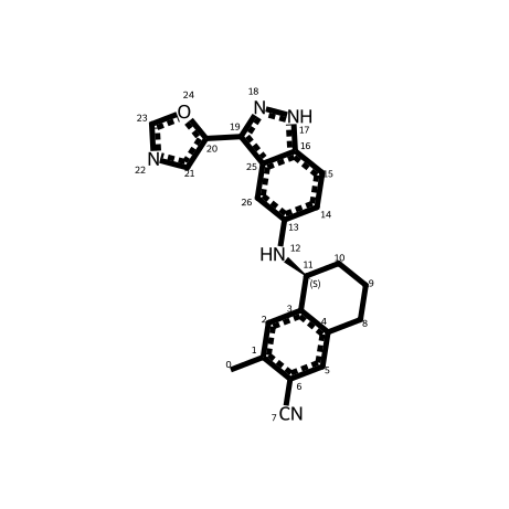 Cc1cc2c(cc1C#N)CCC[C@@H]2Nc1ccc2[nH]nc(-c3cnco3)c2c1